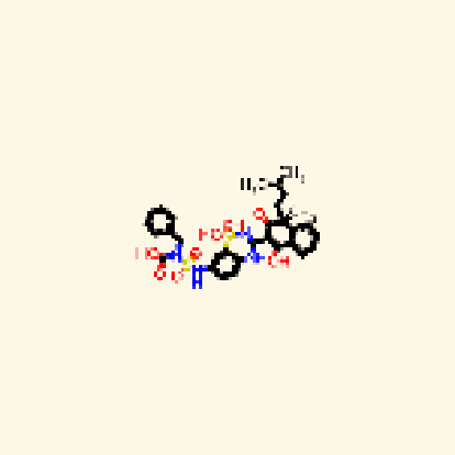 CC(C)CCC1(C)C(=O)C(C2=NS(O)(O)c3cc(NS(=O)(=O)N(Cc4ccccc4)C(=O)O)ccc3N2)=C(O)c2ccccc21